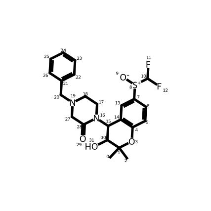 CC1(C)Oc2ccc([S+]([O-])C(F)F)cc2C(N2CCN(Cc3ccccc3)CC2=O)C1O